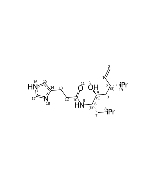 C=C[C@@H](C[C@H](O)[C@H](CC(C)C)NC(=O)CCc1c[nH]cn1)C(C)C